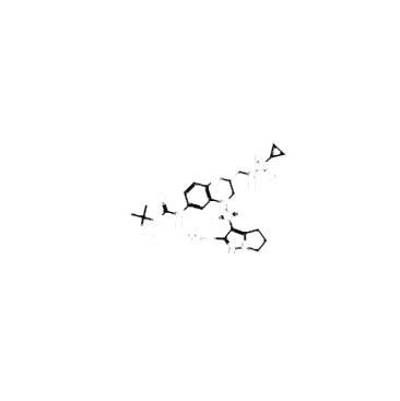 COc1nn2c(c1S(=O)(=O)N1C[C@H](CNS(=O)(=O)C3CC3)Oc3ccc(NC(=O)OC(C)(C)C(F)(F)F)cc31)CCC2